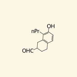 CCCc1c(O)ccc2c1CC(C=O)CC2